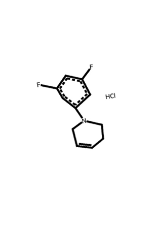 Cl.Fc1cc(F)cc(N2CC=CCC2)c1